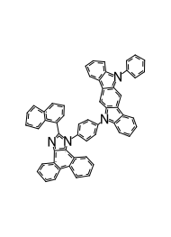 c1ccc(-n2c3ccccc3c3cc4c(cc32)c2ccccc2n4-c2ccc(-n3c(-c4cccc5ccccc45)nc4c5ccccc5c5ccccc5c43)cc2)cc1